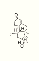 O=C1C=C2CC[C@H]3[C@@H]4CCC(=O)[C@H]4CC(=CF)[C@@H]3[C@H]2CC1